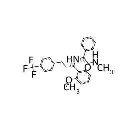 CNC(=O)[C@H](N[C@@H](CCc1ccc(C(F)(F)F)cc1)c1ccccc1OC)c1ccccc1